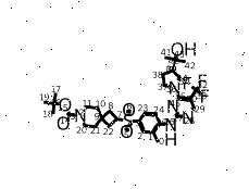 Cc1cc(S(=O)(=O)C2CC3(CCN(C(=O)OC(C)(C)C)CC3)C2)ccc1Nc1ncc(C(F)(F)F)c(N2CC[C@@H](C(C)(C)O)C2)n1